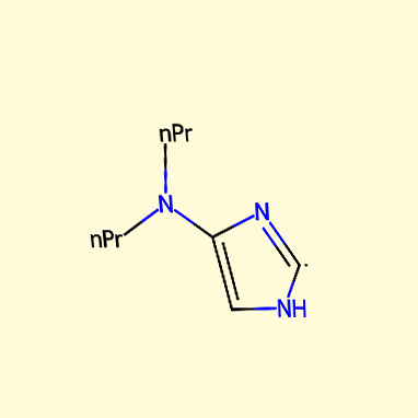 CCCN(CCC)c1c[nH][c]n1